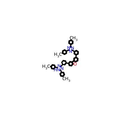 Cc1ccc(C2=NC(C3C=C(c4ccc5oc6ccc(-c7cccc(-c8nc(-c9ccc(C)cc9)nc(-c9ccc(C)cc9)n8)c7)cc6c5c4)C=CC3)=NC(c3ccc(C)cc3)N2)cc1